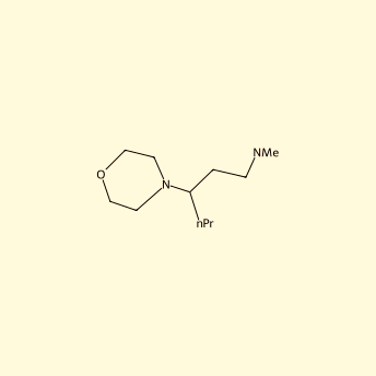 CCCC(CCNC)N1CCOCC1